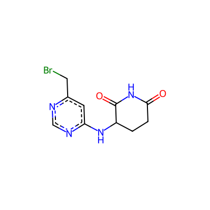 O=C1CCC(Nc2cc(CBr)ncn2)C(=O)N1